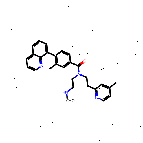 Cc1ccnc(CCN(CCNC=O)C(=O)c2ccc(-c3cccc4cccnc34)c(C)c2)c1